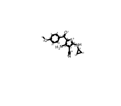 COc1ccc(C(=O)c2sc(NC3CC3)c(C#N)c2N)cc1